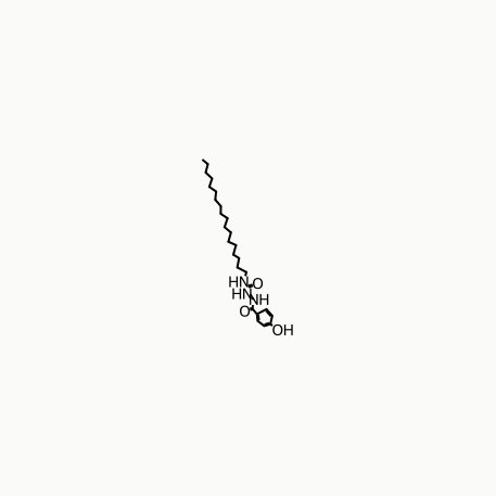 CCCCCCCCCCCCCCCCCCNC(=O)NNC(=O)c1ccc(O)cc1